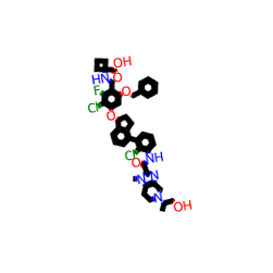 CC(CO)N1CCc2c(nc(C(=O)Nc3cccc(-c4cccc5c4CCC5Oc4cc(OCc5ccccc5)c(CNC5(C(=O)O)CCC5)c(F)c4Cl)c3Cl)n2C)C1